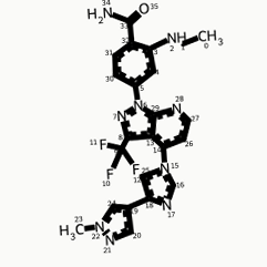 CCNc1cc(-n2nc(C(F)(F)F)c3c(-n4cnc(-c5cnn(C)c5)c4)ccnc32)ccc1C(N)=O